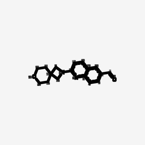 O=Cc1ccc2nc(N3CC4(CCOCC4)C3)ccc2c1